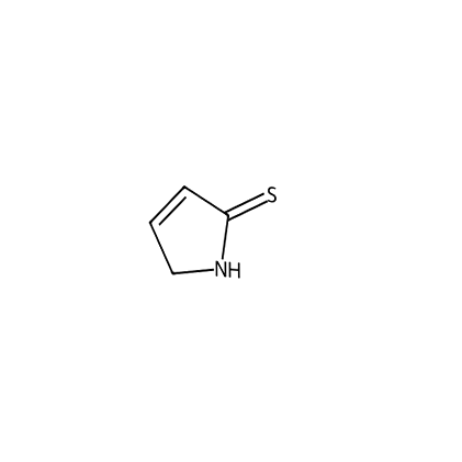 S=C1C=CCN1